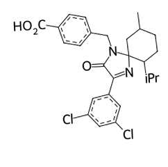 CC1CCC(C(C)C)C2(C1)N=C(c1cc(Cl)cc(Cl)c1)C(=O)N2Cc1ccc(C(=O)O)cc1